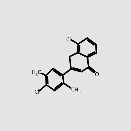 Cc1cc(C2=CC(=O)c3cccc(Cl)c3C2)c(C)cc1Cl